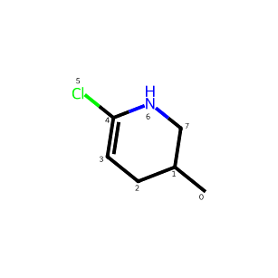 CC1CC=C(Cl)NC1